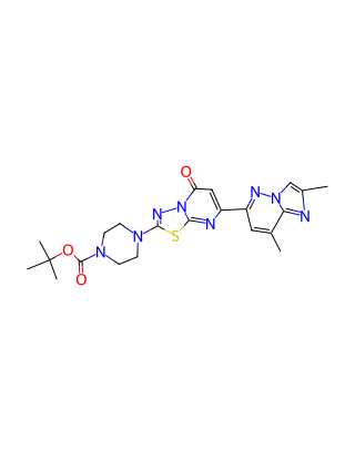 Cc1cn2nc(-c3cc(=O)n4nc(N5CCN(C(=O)OC(C)(C)C)CC5)sc4n3)cc(C)c2n1